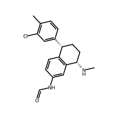 CN[C@H]1CC[C@@H](c2ccc(C)c(Cl)c2)c2ccc(NC=O)cc21